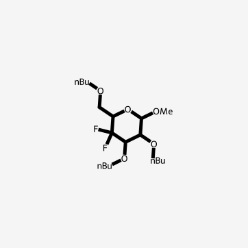 CCCCOCC1OC(OC)C(OCCCC)C(OCCCC)C1(F)F